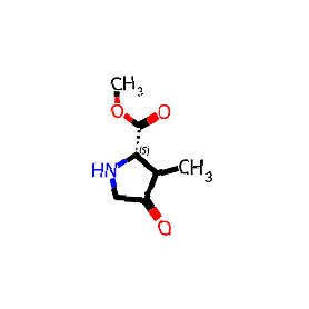 COC(=O)[C@H]1NCC(=O)C1C